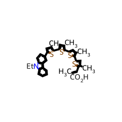 CCn1c2ccccc2c2cc(-c3cc(C)c(-c4cc(C)c(-c5cc(C)c(-c6cc(C)c(C=C(C)C(=O)O)s6)s5)s4)s3)ccc21